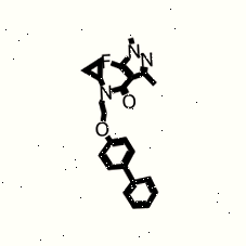 Cc1nn(C)c(F)c1C(=O)N(CCOc1ccc(-c2ccccc2)cc1)C1CC1